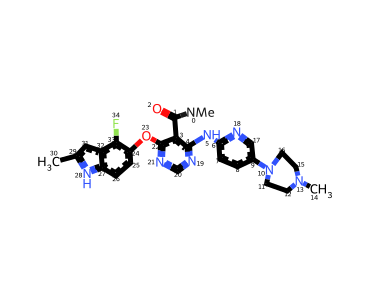 CNC(=O)c1c(Nc2ccc(N3CCN(C)CC3)cn2)ncnc1Oc1ccc2[nH]c(C)cc2c1F